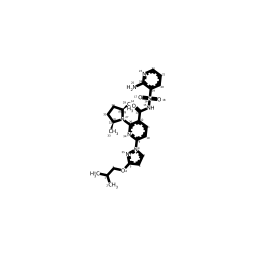 CC(C)COc1ccn(-c2ccc(C(=O)NS(=O)(=O)c3cccnc3N)c(N3[C@H](C)CC[C@@H]3C)n2)n1